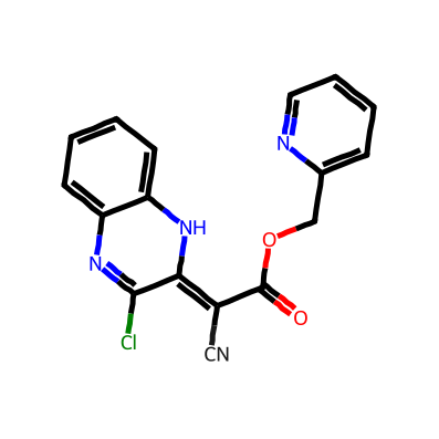 N#CC(C(=O)OCc1ccccn1)=C1Nc2ccccc2N=C1Cl